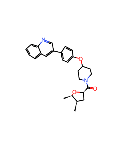 C[C@@H]1C[C@H](C(=O)N2CCC(Oc3ccc(-c4cnc5ccccc5c4)cc3)CC2)O[C@@H]1C